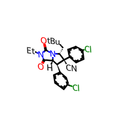 CCN1C(=O)[C@H]2[C@H](c3cccc(Cl)c3)[C@@](C#N)(c3ccc(Cl)cc3)[C@@H](CC(C)(C)C)N2C1=O